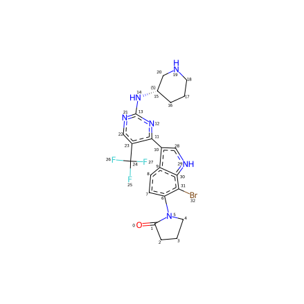 O=C1CCCN1c1ccc2c(-c3nc(N[C@H]4CCCNC4)ncc3C(F)(F)F)c[nH]c2c1Br